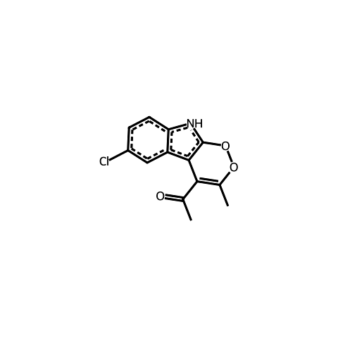 CC(=O)C1=C(C)OOc2[nH]c3ccc(Cl)cc3c21